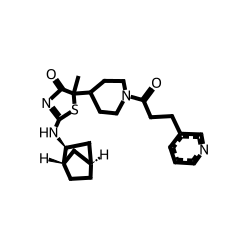 CC1(C2CCN(C(=O)CCc3cccnc3)CC2)SC(N[C@H]2C[C@H]3CC[C@H]2C3)=NC1=O